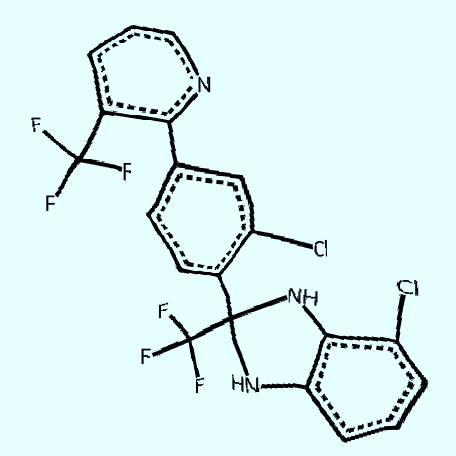 FC(F)(F)c1cccnc1-c1ccc(C2(C(F)(F)F)Nc3cccc(Cl)c3N2)c(Cl)c1